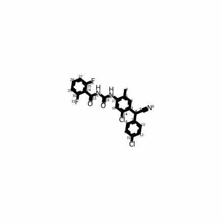 Cc1cc(C(C#N)c2ccc(Cl)cc2)c(Cl)cc1NC(=O)NC(=O)c1c(F)cccc1F